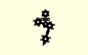 O=S(=O)(c1ccccc1)n1c(-c2ccccc2)cc2c(C#Cc3ccc(F)cc3)ccnc21